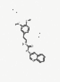 COc1ccc(CCNC(=S)Nc2cnc3ccccc3c2)cc1OC